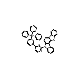 c1ccc([Si](c2ccccc2)(c2ccccc2)c2cccc(-c3ccnc(-n4c5ccccc5c5c6sc7ccccc7c6ccc54)n3)c2)cc1